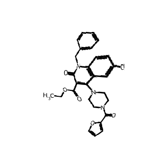 CCOC(=O)c1c(N2CCN(C(=O)c3ccco3)CC2)c2cc(Cl)ccc2n(Cc2ccccc2)c1=O